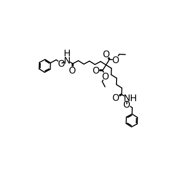 CCOC(=O)C(CCCCCC(=O)NOCc1ccccc1)(CCCCCC(=O)NOCc1ccccc1)C(=O)OCC